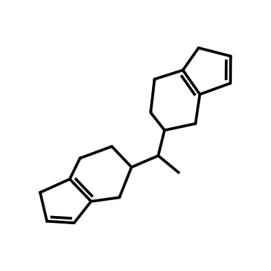 CC(C1CCC2=C(C=CC2)C1)C1CCC2=C(C=CC2)C1